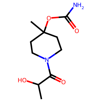 CC(O)C(=O)N1CCC(C)(OC(N)=O)CC1